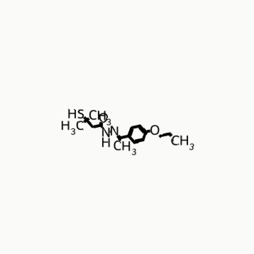 CCCOc1ccc(/C(C)=N/NC(=O)CC(C)(C)S)cc1